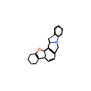 C1=CC2C3=C(CCCC3)OC2C2=C1CN1c3ccccc3CC21